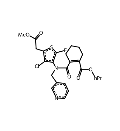 CCCOC(=O)C1=C(C(=O)N(Cc2cccnc2)c2c(F)sc(CC(=O)OC)c2Cl)CCCC1